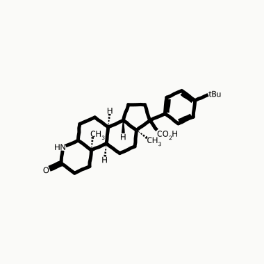 CC(C)(C)c1ccc(C2(C(=O)O)CC[C@H]3[C@@H]4CCC5NC(=O)CC[C@]5(C)[C@@H]4CC[C@@]32C)cc1